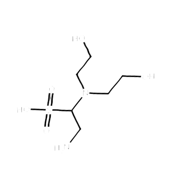 NCC(N(CCO)CCO)S(=O)(=O)O